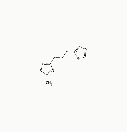 Cc1nc(CCCc2cncs2)cs1